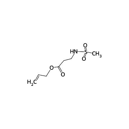 C=CCOC(=O)CCNS(C)(=O)=O